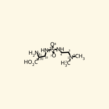 CN(C)CCNS(=O)(=O)NC[C@H](N)C(=O)O